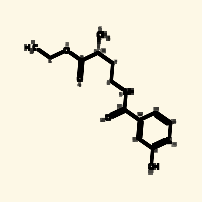 CCOC(=O)[C@H](C)CCNC(=O)c1ccnc(O)c1